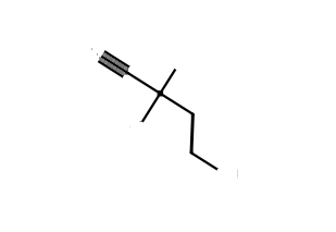 CCCC(Cl)(Cl)C#N